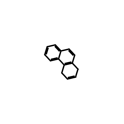 [C]1=CCc2c(ccc3ccccc23)[CH]1